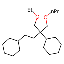 CCCOCC(CCC1CCCCC1)(COCC)C1CCCCC1